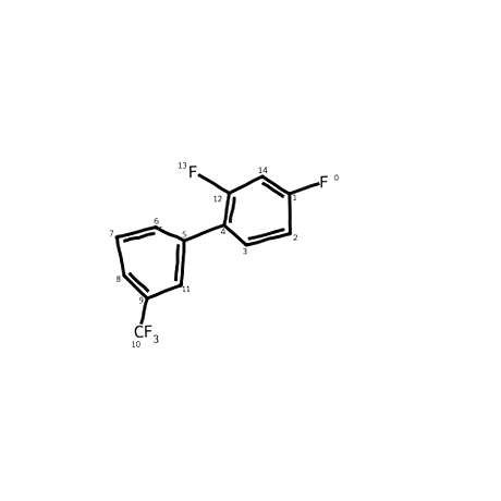 Fc1ccc(-c2[c]ccc(C(F)(F)F)c2)c(F)c1